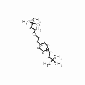 CC(C)(C)CCOCCN1CCN(CCC(C)(C)C)CC1